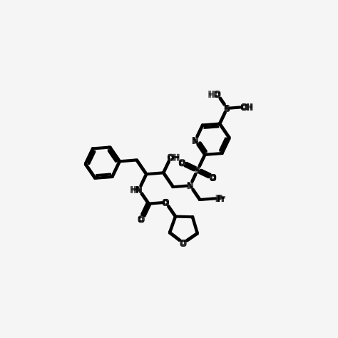 CC(C)CN(CC(O)C(Cc1ccccc1)NC(=O)OC1CCOC1)S(=O)(=O)c1ccc(B(O)O)cn1